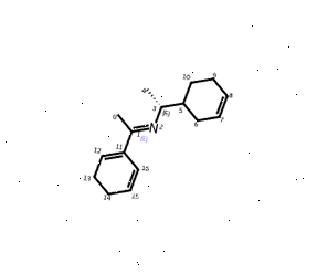 C/C(=N\[C@H](C)C1CC=CCC1)C1=CCCC=C1